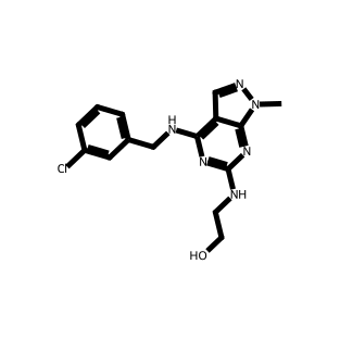 Cn1ncc2c(NCc3cccc(Cl)c3)nc(NCCO)nc21